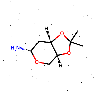 CC1(C)O[C@H]2C[C@@H](N)OC[C@H]2O1